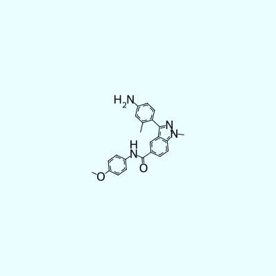 COc1ccc(NC(=O)c2ccc3c(c2)c(-c2ccc(N)cc2C)nn3C)cc1